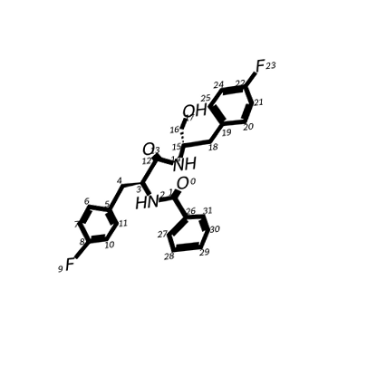 O=C(N[C@@H](Cc1ccc(F)cc1)C(=O)N[C@H](CO)Cc1ccc(F)cc1)c1ccccc1